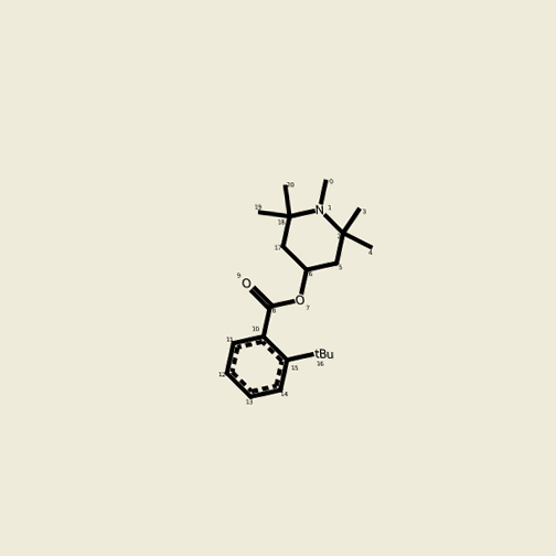 CN1C(C)(C)CC(OC(=O)c2ccccc2C(C)(C)C)CC1(C)C